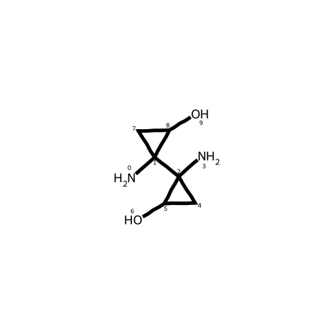 NC1(C2(N)CC2O)CC1O